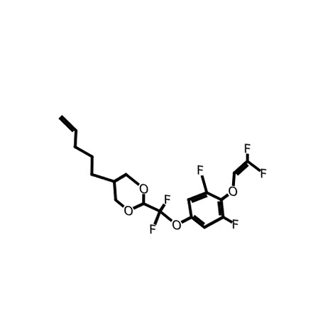 C=CCCCC1COC(C(F)(F)Oc2cc(F)c(OC=C(F)F)c(F)c2)OC1